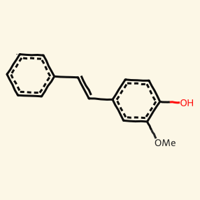 COc1cc(C=Cc2c[c]ccc2)ccc1O